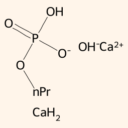 CCCOP(=O)([O-])O.[Ca+2].[CaH2].[OH-]